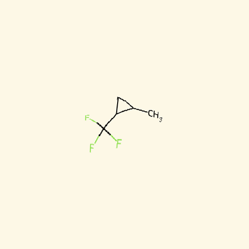 CC1CC1C(F)(F)F